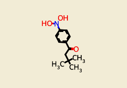 CC(C)(C)CC(=O)c1ccc(N(O)O)cc1